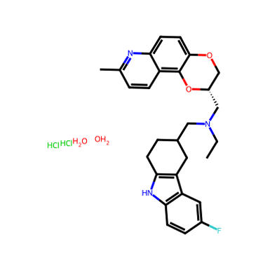 CCN(CC1CCc2[nH]c3ccc(F)cc3c2C1)C[C@H]1COc2ccc3nc(C)ccc3c2O1.Cl.Cl.O.O